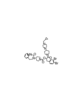 O=C(OC(Cc1ccc(Br)c(Br)c1)C(=O)N1CCC(N2CCN(CC3CC3)CC2)CC1)N1CCC(N2CCc3ccccc3NC2=O)CC1